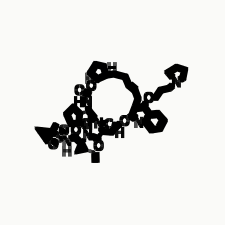 C=C[C@@H]1C[C@]1(NC(=O)[C@@H]1C[C@@H]2CN1C(=O)[C@H](C1CCCC1)NC(=O)O[C@@H]1CCC[C@H]1CC/C=C/Cc1c(nc3ccccc3c1OCCCN1CCCC1)O2)C(=O)NS(=O)(=O)C1(C)CC1